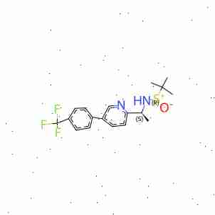 C[C@H](N[S@@+]([O-])C(C)(C)C)c1ccc(-c2ccc(C(F)(F)F)cc2)cn1